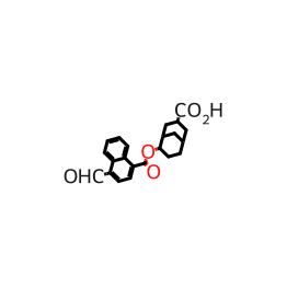 O=Cc1ccc(C(=O)OC2CCC3CC(C(=O)O)CC2C3)c2ccccc12